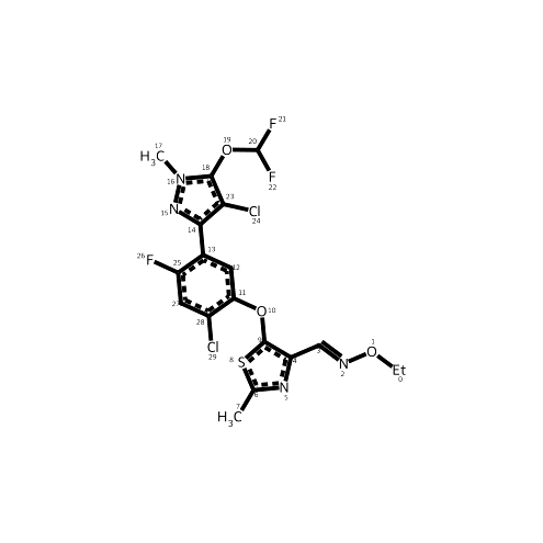 CCON=Cc1nc(C)sc1Oc1cc(-c2nn(C)c(OC(F)F)c2Cl)c(F)cc1Cl